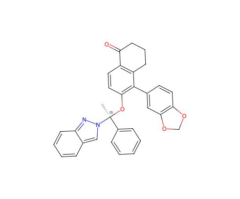 C[C@](Oc1ccc2c(c1-c1ccc3c(c1)OCO3)CCCC2=O)(c1ccccc1)n1cc2ccccc2n1